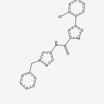 O=C(Nc1cnn(Cc2ccccc2)c1)c1cc(-c2ccncc2Cl)on1